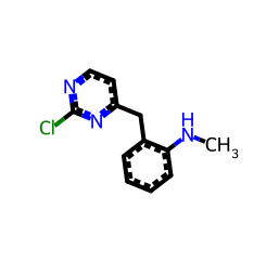 CNc1ccccc1Cc1ccnc(Cl)n1